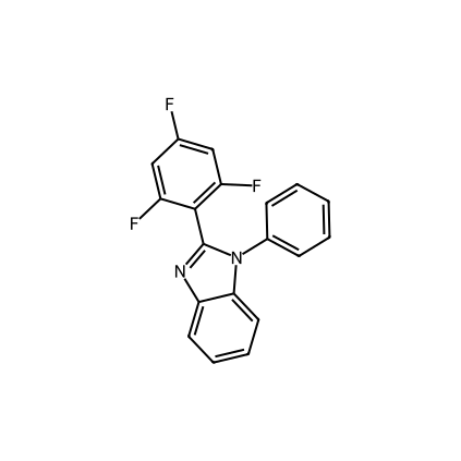 Fc1cc(F)c(-c2nc3ccccc3n2-c2ccccc2)c(F)c1